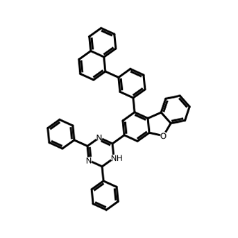 c1ccc(C2=NC(c3ccccc3)NC(c3cc(-c4cccc(-c5cccc6ccccc56)c4)c4c(c3)oc3ccccc34)=N2)cc1